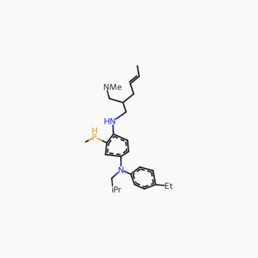 C/C=C/CC(CNC)CNc1ccc(N(CC(C)C)c2ccc(CC)cc2)cc1PC